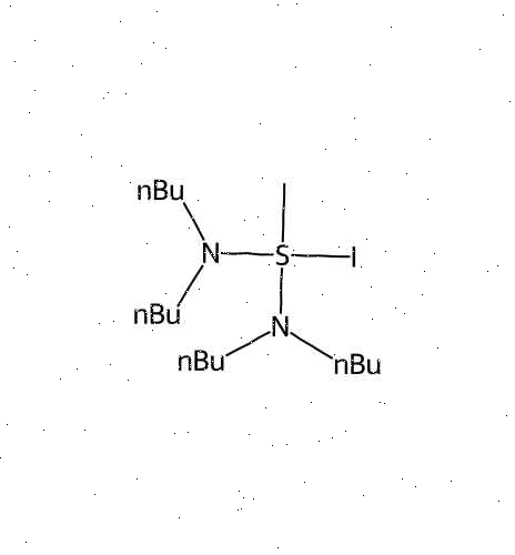 CCCCN(CCCC)S(C)(I)N(CCCC)CCCC